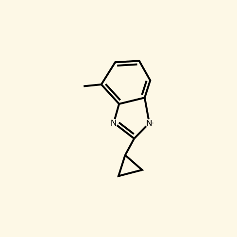 Cc1cccc2c1N=C(C1CC1)[N]2